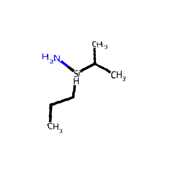 CCC[SiH](N)C(C)C